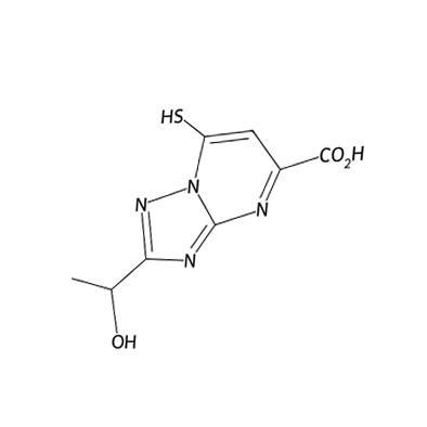 CC(O)c1nc2nc(C(=O)O)cc(S)n2n1